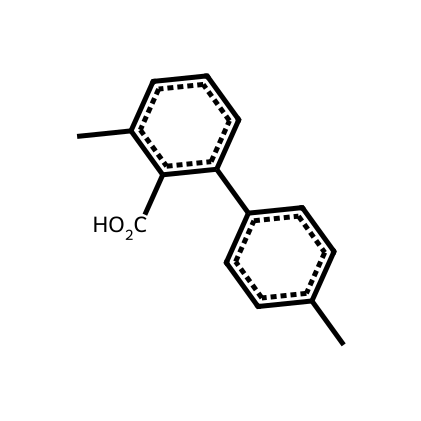 Cc1ccc(-c2cccc(C)c2C(=O)O)cc1